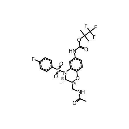 CC(=O)NC[C@@H]1Oc2ccc(NC(=O)OC(C)(C)C(F)(F)F)cc2N(S(=O)(=O)c2ccc(F)cc2)[C@H]1C